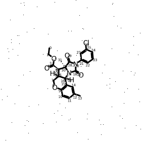 CCOC(=O)[C@@H]1[C@H]2COc3ccc(C)cc3[C@H]2N2C(=O)N(c3cccc(Cl)c3)C(=O)[C@]12C